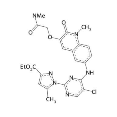 CCOC(=O)c1cc(C)n(-c2ncc(Cl)c(Nc3ccc4c(c3)cc(OCC(=O)NC)c(=O)n4C)n2)n1